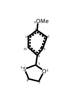 COc1ccc(C2OCCS2)cc1